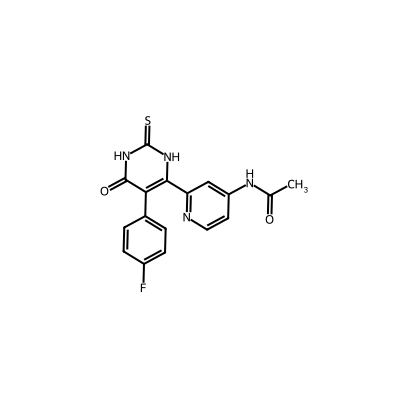 CC(=O)Nc1ccnc(-c2[nH]c(=S)[nH]c(=O)c2-c2ccc(F)cc2)c1